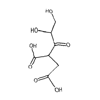 O=C(O)CC(C(=O)O)C(=O)C(O)CO